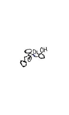 N#C/C(=C\c1cccc(O)c1)S(=O)(=O)Cc1ccccc1